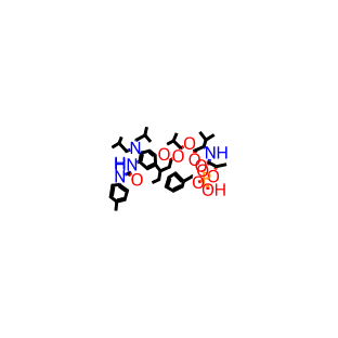 CCC(CC(=O)OC(OC(=O)C(NC(=O)C(C)OP(=O)(O)OCc1ccccc1)C(C)C)C(C)C)c1ccc(N(CC(C)C)CC(C)C)c(NC(=O)Nc2ccc(C)cc2)c1